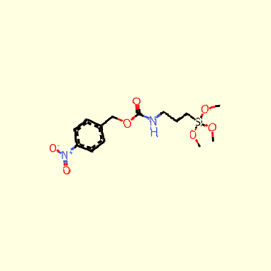 CO[Si](CCCNC(=O)OCc1ccc([N+](=O)[O-])cc1)(OC)OC